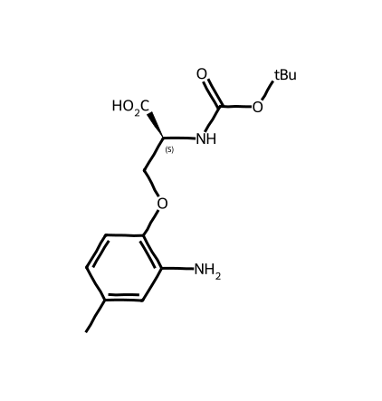 Cc1ccc(OC[C@H](NC(=O)OC(C)(C)C)C(=O)O)c(N)c1